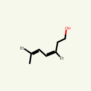 CCC(C)=CC=C(CC)CCO